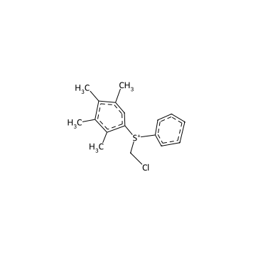 Cc1cc([S+](CCl)c2ccccc2)c(C)c(C)c1C